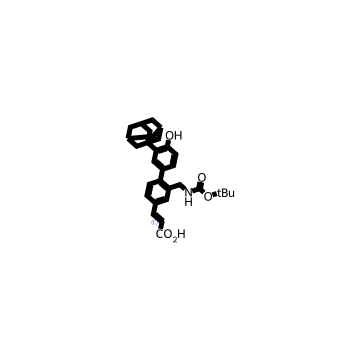 CC(C)(C)OC(=O)NCc1cc(/C=C/C(=O)O)ccc1-c1ccc(O)c(C23CC4CC(CC(C4)C2)C3)c1